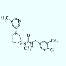 Cc1cnnc(N2CCC[C@@H](N(C)C(=O)NCc3ccc(Cl)c(C)c3)C2)c1